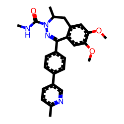 CNC(=O)N1N=C(c2ccc(-c3ccc(C)nc3)cc2)c2cc(OC)c(OC)cc2CC1C